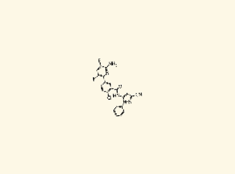 N#Cc1cc(NC(=O)c2cc(-c3nc(N)c(F)cc3F)ccc2Cl)n(-c2ccccc2)n1